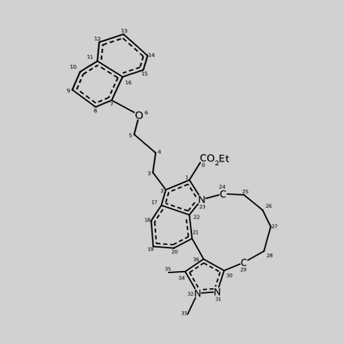 CCOC(=O)c1c(CCCOc2cccc3ccccc23)c2cccc3c2n1CCCCCCc1nn(C)c(C)c1-3